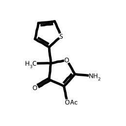 CC(=O)OC1=C(N)OC(C)(c2cccs2)C1=O